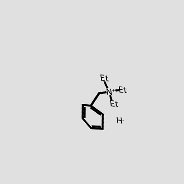 CC[N+](CC)(CC)Cc1ccccc1.[H]